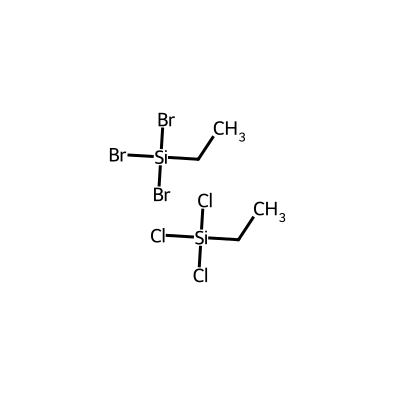 CC[Si](Br)(Br)Br.CC[Si](Cl)(Cl)Cl